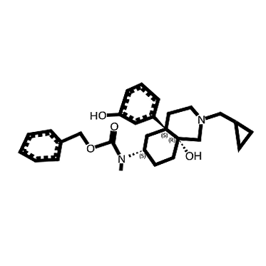 CN(C(=O)OCc1ccccc1)[C@H]1CC[C@]2(O)CN(CC3CC3)CC[C@@]2(c2cccc(O)c2)C1